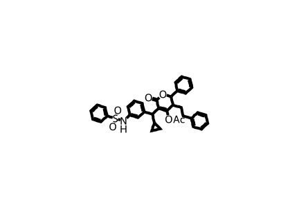 CC(=O)OC1=C(C(c2cccc(NS(=O)(=O)c3ccccc3)c2)C2CC2)C(=O)OC(c2ccccc2)C1CCc1ccccc1